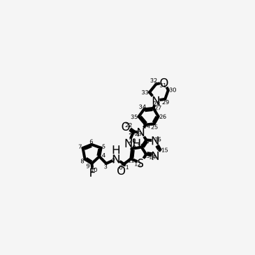 O=C(NCc1ccccc1F)c1sc2ncnc3c2c1NC(=O)N3c1ccc(N2CCOCC2)cc1